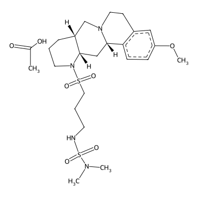 CC(=O)O.COc1ccc2c(c1)CCN1C[C@H]3CCCN(S(=O)(=O)CCCNS(=O)(=O)N(C)C)[C@H]3C[C@@H]21